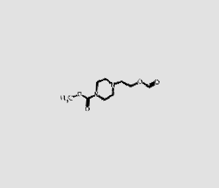 COC(=O)N1CCN(CCOC=O)CC1